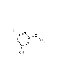 COc1cc(C)cc(I)n1